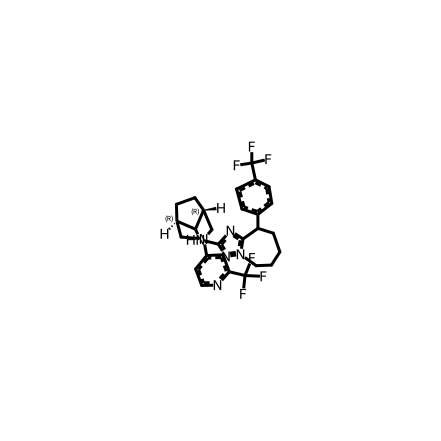 FC(F)(F)c1ccc(C2CCCCn3nc(NC4[C@@H]5CC[C@@H]4CN(c4ccnc(C(F)(F)F)c4)C5)nc32)cc1